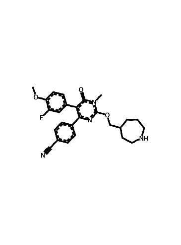 COc1ccc(-c2c(-c3ccc(C#N)cc3)nc(OCC3CCCNCC3)n(C)c2=O)cc1F